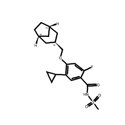 CS(=O)(=O)NC(=O)c1cc(C2CC2)c(OC[C@H]2C[C@@H]3CC[C@@H](C3)C2)cc1F